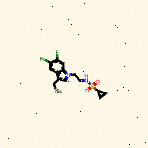 CC(C)(C)Cc1cn(CCNS(=O)(=O)C2CC2)c2cc(F)c(Br)cc12